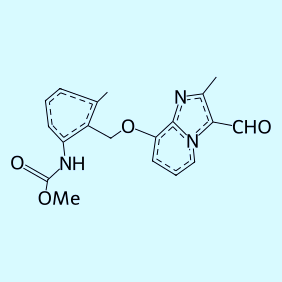 COC(=O)Nc1cccc(C)c1COc1cccn2c(C=O)c(C)nc12